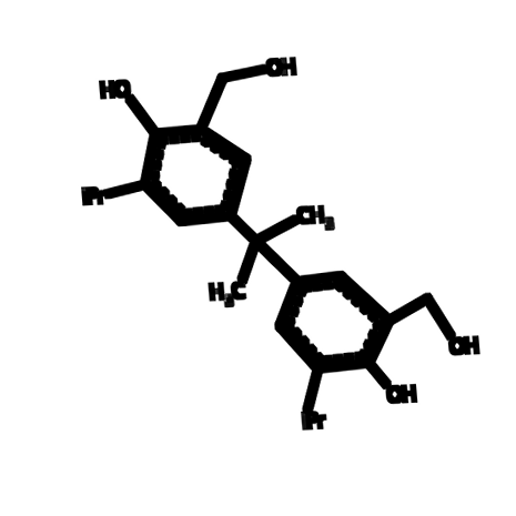 CC(C)c1cc(C(C)(C)c2cc(CO)c(O)c(C(C)C)c2)cc(CO)c1O